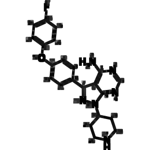 Nc1ncnc2c1c(-c1ccc(Oc3ccc(F)cc3)cc1)nn2C1CCNCC1